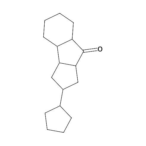 O=C1C2CCCCC2C2CC(C3CCCC3)CC12